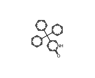 O=c1ccc(C(c2ccccc2)(c2ccccc2)c2ccccc2)c[nH]1